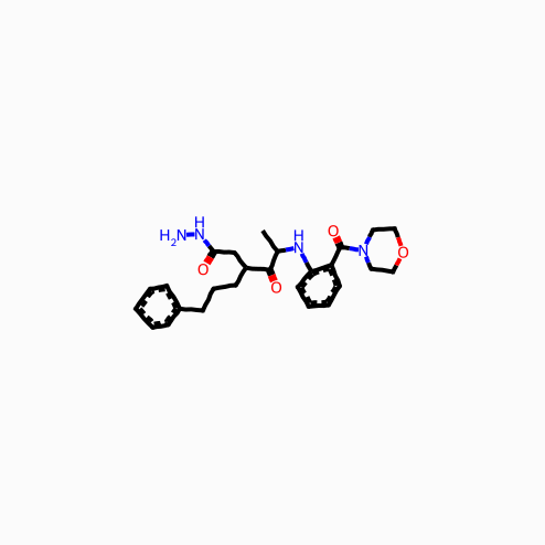 CC(Nc1ccccc1C(=O)N1CCOCC1)C(=O)C(CCCc1ccccc1)CC(=O)NN